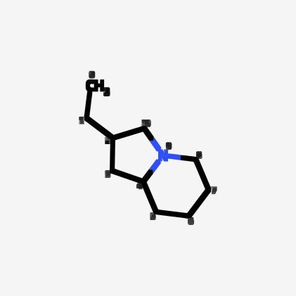 CCC1CC2CCCCN2C1